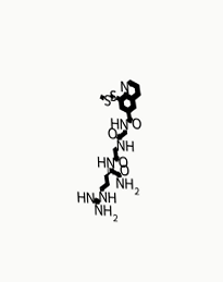 CSSc1cc(C(=O)NCC(=O)NCC(=O)N[C@H](CCCNC(=N)N)C(N)=O)cc2cccnc12